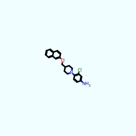 Nc1ccc(N2CCC(COc3ccc4ccccc4c3)CC2)c(Cl)c1